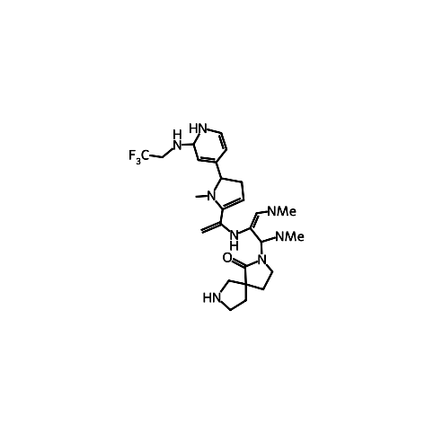 C=C(N/C(=C/NC)C(NC)N1CCC2(CCNC2)C1=O)C1=CCC(C2=CC(NCC(F)(F)F)NC=C2)N1C